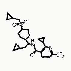 O=C(NC(CC1CC1)C1CCC(S(=O)(=O)CC2CC2)CC1)c1ccc(C(F)(F)F)nc1C1CC1